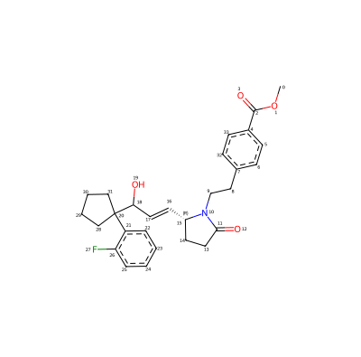 COC(=O)c1ccc(CCN2C(=O)CC[C@@H]2C=CC(O)C2(c3ccccc3F)CCCC2)cc1